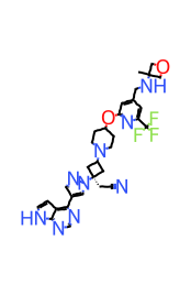 CC1(NCc2cc(OC3CCN([C@H]4C[C@@](CC#N)(n5cc(-c6ncnc7[nH]ccc67)cn5)C4)CC3)nc(C(F)(F)F)c2)COC1